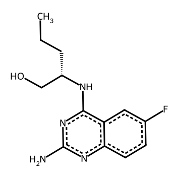 CCC[C@@H](CO)Nc1nc(N)nc2ccc(F)cc12